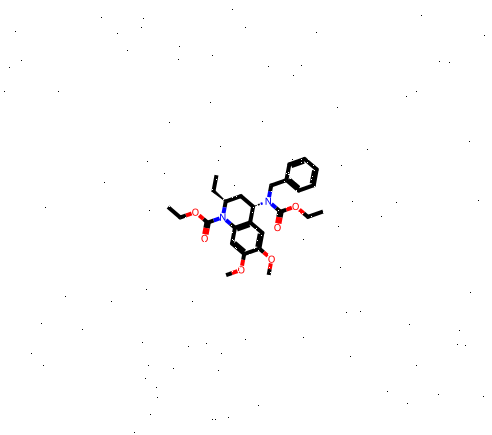 CCOC(=O)N(Cc1ccccc1)[C@H]1C[C@H](CC)N(C(=O)OCC)c2cc(OC)c(OC)cc21